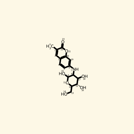 Cc1cc2ccc(NC3C(O)OC(CO)[C@@H](O)C3O)cc2oc1=O